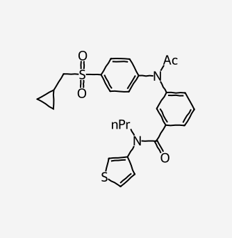 CCCN(C(=O)c1cccc(N(C(C)=O)c2ccc(S(=O)(=O)CC3CC3)cc2)c1)c1ccsc1